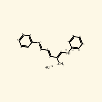 CC(C=CC=Nc1ccccc1)=CNc1ccccc1.Cl